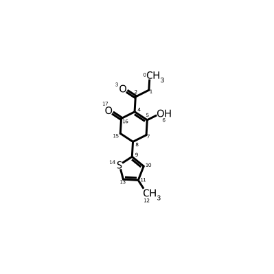 CCC(=O)C1=C(O)CC(c2cc(C)cs2)CC1=O